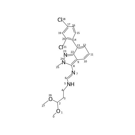 COC(CCNC=Nc1c2cccc(-c3ccc(Cl)cc3Cl)c2nn1C)OC